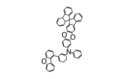 C1=CC2c3ccccc3C3(c4ccccc4-c4cc5c(cc43)Oc3ccc(N(C4=CC(c6cccc7oc8ccccc8c67)=CCC4)c4ccccc4)cc3O5)C2C=C1